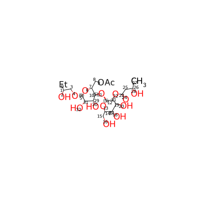 CCC(O)CO[C@@H]1OC(COC(C)=O)[C@@H](O[C@@H]2OC(CO)[C@@H](O)C(O)C2OC(=O)CC(C)O)C(O)C1O